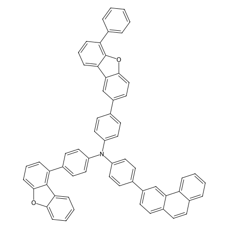 c1ccc(-c2cccc3c2oc2ccc(-c4ccc(N(c5ccc(-c6ccc7ccc8ccccc8c7c6)cc5)c5ccc(-c6cccc7oc8ccccc8c67)cc5)cc4)cc23)cc1